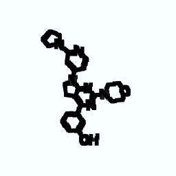 Oc1cccc(-c2nc(N3CCOCC3)nc3c2CCN3c2ccnc(N3CC=CC3)c2)c1